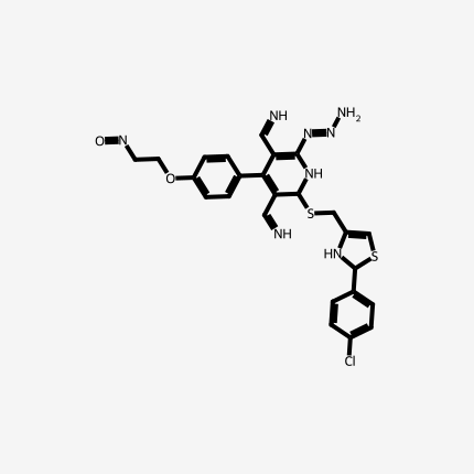 N=CC1=C(N=NN)NC(SCC2=CSC(c3ccc(Cl)cc3)N2)C(C=N)=C1c1ccc(OCCN=O)cc1